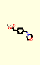 COC(=O)Cc1ccc(CN2CCOCC2)cc1